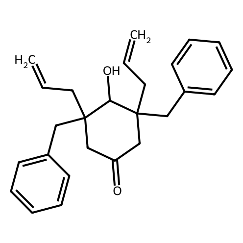 C=CCC1(Cc2ccccc2)CC(=O)CC(CC=C)(Cc2ccccc2)C1O